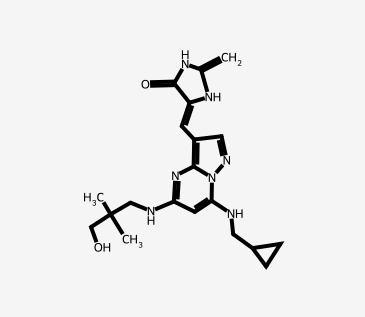 C=c1[nH]c(=O)/c(=C/c2cnn3c(NCC4CC4)cc(NCC(C)(C)CO)nc23)[nH]1